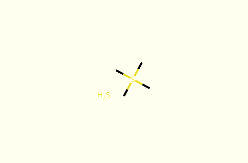 CS(C)(C)C.S